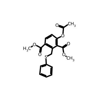 COC(=O)c1ccc(OC(C)=O)c(C(=O)OC)c1CSc1ccccc1